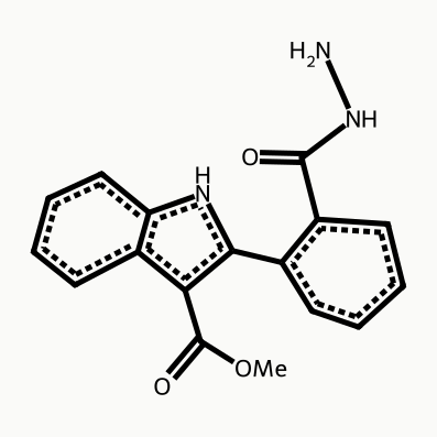 COC(=O)c1c(-c2ccccc2C(=O)NN)[nH]c2ccccc12